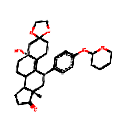 C[C@]12C[C@H](c3ccc(OC4CCCCO4)cc3)C3=C4CCC5(C[C@]4(O)CCC3C1CCC2=O)OCCO5